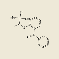 CCCCC(C=O)(CC)C(C)Sc1ccccc1C(=O)c1ccccc1